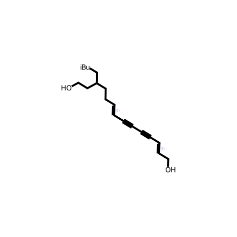 CCC(C)CC(CCO)CC/C=C/C#CC#C/C=C/CO